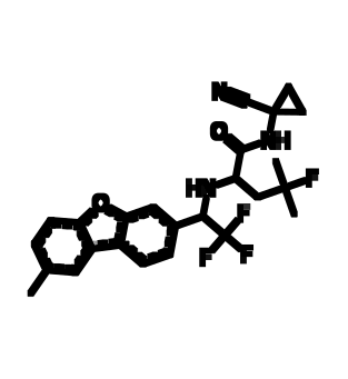 Cc1ccc2oc3cc(C(NC(CC(C)(C)F)C(=O)NC4(C#N)CC4)C(F)(F)F)ccc3c2c1